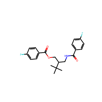 CC(C)(C)C(CNC(=O)c1ccc(F)cc1)COC(=O)c1ccc(F)cc1